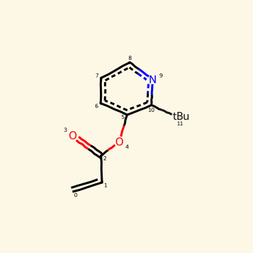 C=CC(=O)Oc1cccnc1C(C)(C)C